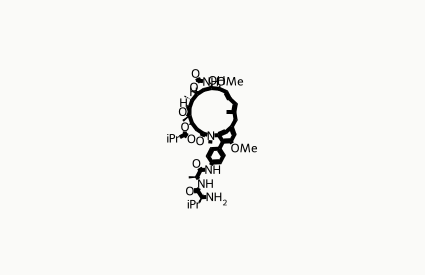 COc1cc2cc(c1-c1ccc(NC(=O)[C@H](C)NC(=O)[C@@H](N)C(C)C)cc1)N(C)C(=O)C[C@H](OC(=O)C(C)C)[C@]1(C)O[C@H]1[C@H](C)[C@@H]1C[C@@](O)(NC(=O)O1)[C@H](OC)/C=C/C=C(\C)C2